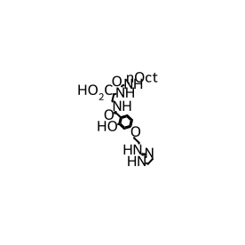 CCCCCCCCNC(=O)N[C@@H](CNC(=O)c1ccc(OCCNC2=NCCN2)cc1O)C(=O)O